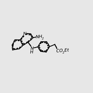 CCOC(=O)Cc1ccc(Nc2c(N)cnc3ccccc23)cc1